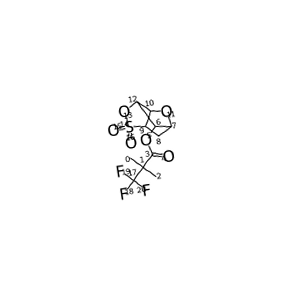 CC(C)(C(=O)OC1C2CC3C(O2)C1OS3(=O)=O)C(F)(F)F